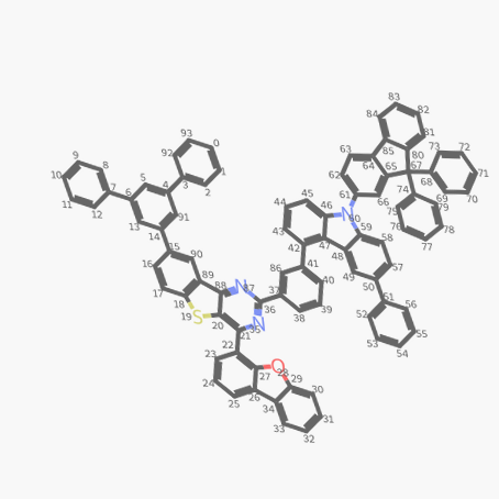 c1ccc(-c2cc(-c3ccccc3)cc(-c3ccc4sc5c(-c6cccc7c6oc6ccccc67)nc(-c6cccc(-c7cccc8c7c7cc(-c9ccccc9)ccc7n8-c7ccc8c(c7)C(c7ccccc7)(c7ccccc7)c7ccccc7-8)c6)nc5c4c3)c2)cc1